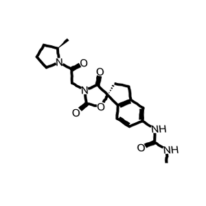 CNC(=O)Nc1ccc2c(c1)CC[C@@]21OC(=O)N(CC(=O)N2CCC[C@H]2C)C1=O